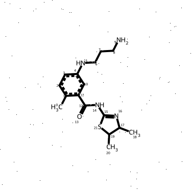 Cc1ccc(NCCCN)cc1C(=O)NC1=NC(C)C(C)S1